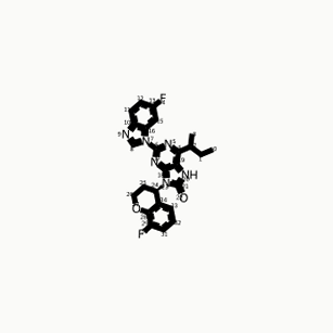 CCC(C)c1nc(-n2cnc3ccc(F)cc32)nc2c1[nH]c(=O)n2[C@@H]1CCOc2c(F)cccc21